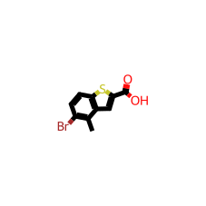 Cc1c(Br)ccc2sc(C(=O)O)cc12